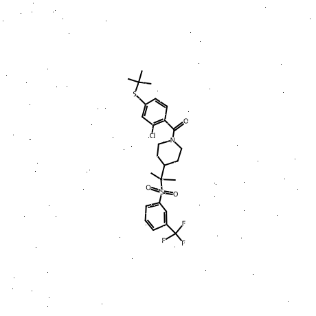 CC(C)(C)Sc1ccc(C(=O)N2CCC(C(C)(C)S(=O)(=O)c3cccc(C(F)(F)F)c3)CC2)c(Cl)c1